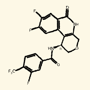 O=C(N[C@@H]1COCc2[nH]c(=O)c3cc(F)c(F)cc3c21)c1ccc(C(F)(F)F)c(F)c1